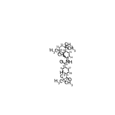 CC(C)(C)C(=O)c1ccc(C(=O)Nc2ccc3c(c2)C(C)(C)CCC3(C)C)cc1